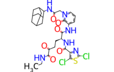 CCNC(=O)C(=O)CC[C@H](NC(=O)c1nc(Cl)sc1Cl)C(=O)Nc1cccn(CC(=O)NC2C3CC4CC(C3)CC2C4)c1=O